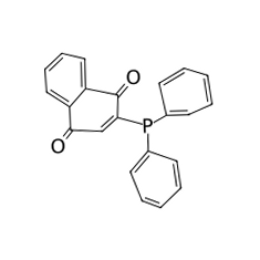 O=C1C=C(P(c2ccccc2)c2ccccc2)C(=O)c2ccccc21